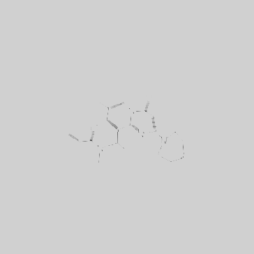 C=CC(=O)N(C)C(C)c1cc(C)cn2c(=O)cc(N3CCCCC3)nc12